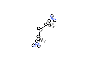 CC1(C)c2cc(/C=C/c3ccc(/C=C/c4ccc5c(c4)C(C)(C)c4cc(N(c6ccccn6)c6ccccn6)ccc4-5)c4ccccc34)ccc2-c2ccc(N(c3ccccn3)c3ccccn3)cc21